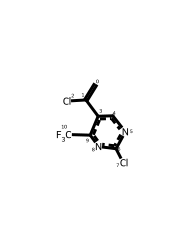 C=C(Cl)c1cnc(Cl)nc1C(F)(F)F